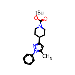 Cc1cc(C2CCN(C(=O)OC(C)(C)C)CC2)nn1-c1ccccc1